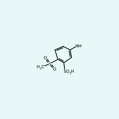 CS(=O)(=O)c1ccc([NH])cc1S(=O)(=O)O